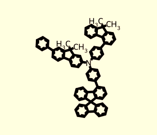 CC1(C)c2cc(-c3ccccc3)ccc2-c2ccc(N(c3ccc(-c4cccc5c4-c4ccccc4C5(C)C)cc3)c3ccc(-c4cccc5c4-c4ccccc4C54c5ccccc5-c5ccccc54)cc3)cc21